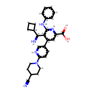 N#CC1CCN(c2ccc(-c3cc(C(=O)O)nc(Nc4ccccc4)c3C(=N)C3CCC3)cn2)CC1